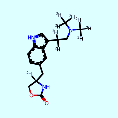 [2H]C([2H])(CN(C([2H])([2H])[2H])C([2H])([2H])[2H])c1c[nH]c2ccc(C[C@@]3([2H])COC(=O)N3)cc12